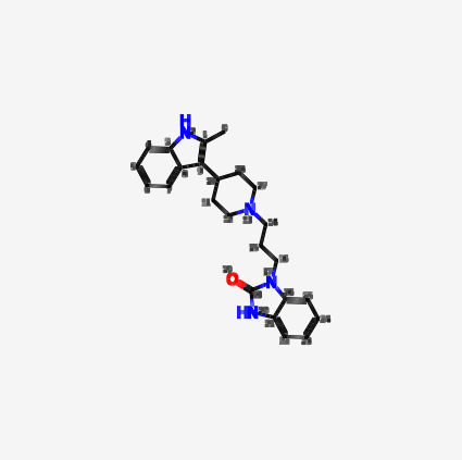 Cc1[nH]c2ccccc2c1C1CCN(CCCn2c(=O)[nH]c3ccccc32)CC1